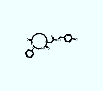 O=C(C[C@@H]1CCCCCC(=O)O[C@H](c2ccccc2)CNC1=O)NCc1ccc(Cl)cc1